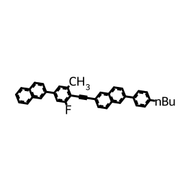 CCCCc1ccc(-c2ccc3cc(C#Cc4c(C)cc(-c5ccc6ccccc6c5)cc4F)ccc3c2)cc1